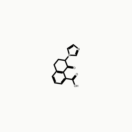 O=C(O)c1cccc2c1C(=O)C(n1ccnc1)CC2